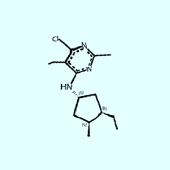 CC[C@@H]1C[C@@H](Nc2nc(C)nc(Cl)c2C)C[C@@H]1C